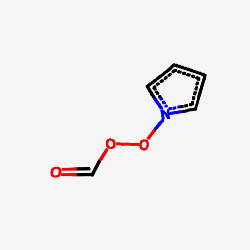 O=COOn1cccc1